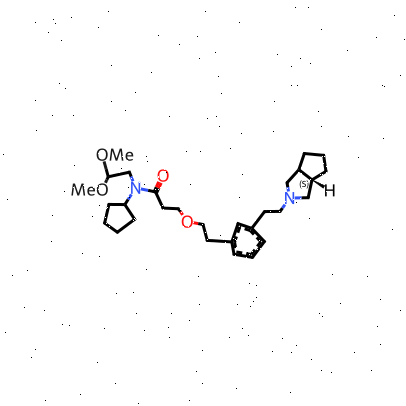 COC(CN(C(=O)CCOCCc1cccc(CCN2CC3CCC[C@@H]3C2)c1)C1CCCC1)OC